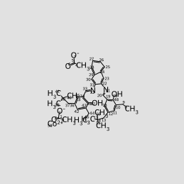 CC(=O)[O-].CC(=O)[O-].CCc1cc(CC(C)(C)C)cc(C=Nc2cc3ccccc3cc2N=Cc2cc(CC(C)(C)C)cc(CC)c2O)c1O.[Co+2]